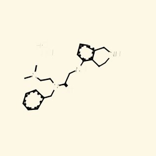 CN(C)CCN(Cc1ccccc1)C(=O)CNc1cccc2c1CCNC2.Cl.Cl